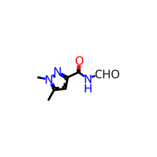 Cc1cc(C(=O)NC=O)nn1C